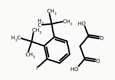 CC(C)(C)c1cccc(I)c1C(C)(C)C.O=C(O)CC(=O)O